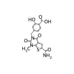 Cn1c(=O)n(Cc2ccc(C(=O)O)c(O)c2)c(=O)c2cc(C(N)=O)sc21